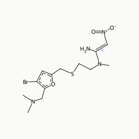 CN(C)Cc1oc(CSCCN(C)/C(N)=C/[N+](=O)[O-])cc1Br